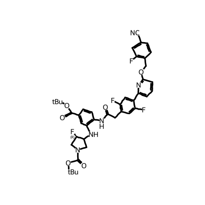 CC(C)(C)OC(=O)c1ccc(NC(=O)Cc2cc(F)c(-c3cccc(OCc4ccc(C#N)cc4F)n3)cc2F)c(NC2CN(C(=O)OC(C)(C)C)C[C@H]2F)c1